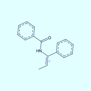 C/C=C(\NC(=O)c1ccccc1)c1ccccc1